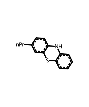 CCCc1ccc2c(c1)Sc1ccccc1N2